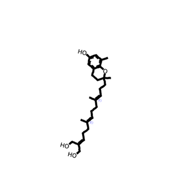 C/C(=C\CC/C(C)=C/CCC1(C)CCc2cc(O)cc(C)c2O1)CCC=C(CO)CO